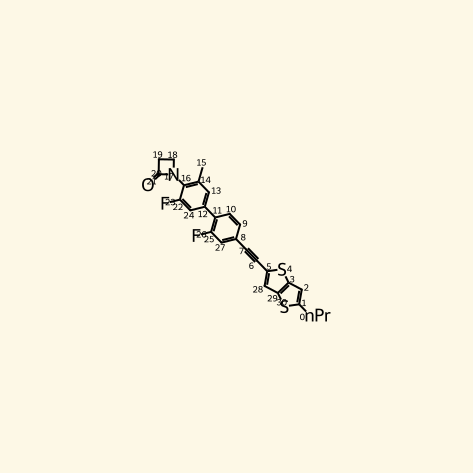 CCCc1cc2sc(C#Cc3ccc(-c4cc(C)c(N5CCC5=O)c(F)c4)c(F)c3)cc2s1